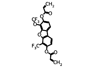 C=CC(=O)Oc1ccc2c(oc3c(C(F)(F)F)c(OC(=O)C=C)ccc32)c1OC(F)(F)F